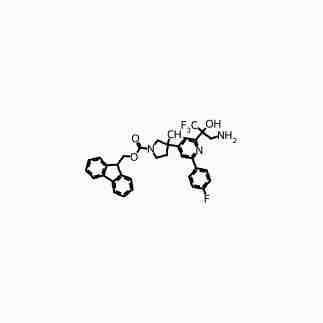 CC1(c2cc(-c3ccc(F)cc3)nc(C(O)(CN)C(F)(F)F)c2)CCN(C(=O)OCC2c3ccccc3-c3ccccc32)C1